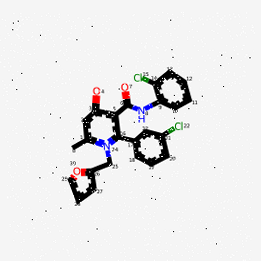 Cc1cc(=O)c(C(=O)Nc2ccccc2Cl)c(-c2cccc(Cl)c2)n1Cc1ccco1